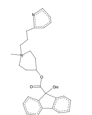 C[N+]1(CCCc2ccccn2)CCC(OC(=O)C2(O)c3ccccc3-c3ccccc32)CC1